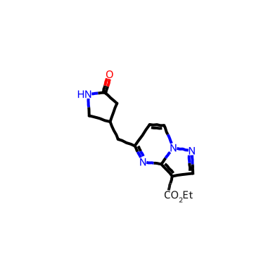 CCOC(=O)c1cnn2ccc(CC3CNC(=O)C3)nc12